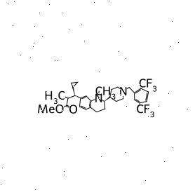 COC(=O)[C@@H](C)[C@H](c1ccc2c(c1)N(C)[C@@H](C1CCN(Cc3cc(C(F)(F)F)ccc3C(F)(F)F)CC1)CC2)C1CC1